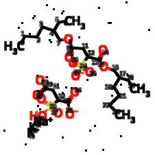 CCCCC(CC)COC(=O)CC(C(=O)OCC(CC)CCCC)S(=O)(=O)[O-].O=C([O-])CC(C(=O)[O-])S(=O)(=O)O.[K+].[K+].[Na+]